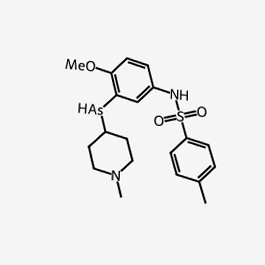 COc1ccc(NS(=O)(=O)c2ccc(C)cc2)cc1[AsH]C1CCN(C)CC1